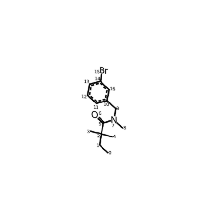 CCC(C)(C)C(=O)N(C)Cc1cccc(Br)c1